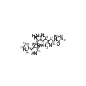 CC(C)C(=O)N(N)c1cncc(-c2cnc3[nH]nc(-c4nc5c(-c6cccnc6)cncc5n4N)c3c2)c1